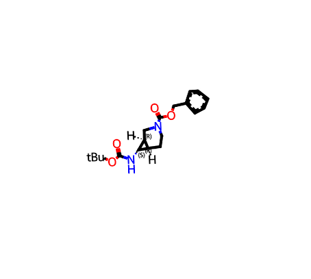 CC(C)(C)OC(=O)N[C@H]1[C@@H]2CCN(C(=O)OCc3ccccc3)C[C@@H]21